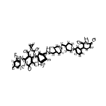 Cc1c(=O)n(C)c(Nc2ccc(I)cc2F)c2c(=O)n(C3CC3)c(=O)n(-c3cccc(NCC4CCN(CC5CCN(c6cccc(C7CCC(=O)NC7=O)c6)CC5)CC4)c3)c12